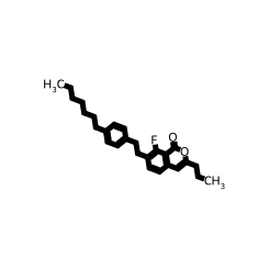 CCCCCCCc1ccc(CCc2ccc3cc(CCC)oc(=O)c3c2F)cc1